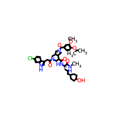 CNC(=O)[C@H](CCCC1CCC(O)CC1)NC(=O)C1CN(C(=O)Cc2c[nH]c3cc(Cl)ccc23)CC2CN(C(=O)c3ccc(OC(C)C)c(OC)c3)CC21